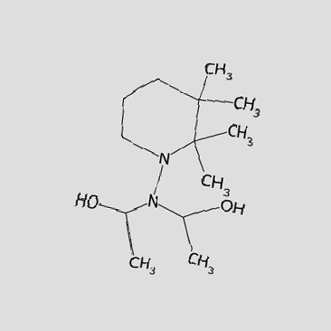 CC(O)N(C(C)O)N1CCCC(C)(C)C1(C)C